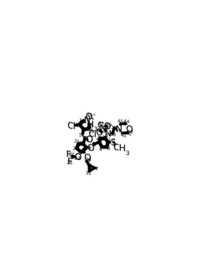 CSc1ccc(C(=O)O[C@@H](Cc2c(Cl)c[n+]([O-])cc2Cl)c2ccc(OC(F)F)c(OCC3CC3)c2)cc1N(CCN1CCOCC1)S(C)(=O)=O